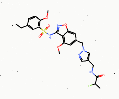 CCc1ccc(OC)c(S(=O)(=O)Nc2noc3cc(Cn4cc(CNC(=O)C(C)F)cn4)cc(OC)c23)c1